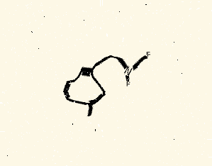 Cc1cccc(CN(F)F)c1